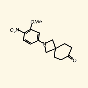 COc1cc(N2CC3(CCC(=O)CC3)C2)ccc1[N+](=O)[O-]